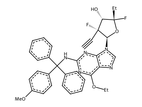 C#C[C@]1(F)[C@H](n2cnc3c(OCC)nc(NC(c4ccccc4)(c4ccccc4)c4ccc(OC)cc4)nc32)O[C@](F)(CC)[C@H]1O